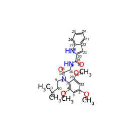 COc1cc(OC)c(N(CCC(C)C)C(=O)CNC(=O)c2cc3ccccc3[nH]2)c(OC)c1